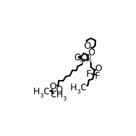 CCCCC(F)(F)C(=O)CC[C@H]1[C@H](OC2CCCCO2)CC(=O)[C@@H]1CCCCCCCCC(=O)OC(C)C